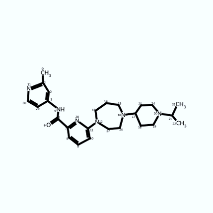 Cc1cc(NC(=O)c2cccc(N3CCCN(C4CCN(C(C)C)CC4)CC3)n2)ccn1